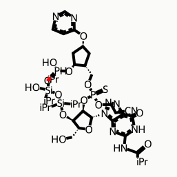 CC(C)C(=O)Nc1nc2c(nnn2[C@@H]2O[C@H](CO)[C@@H](O[Si](O[Si](O)(C(C)C)C(C)C)(C(C)C)C(C)C)[C@H]2OP(=S)(OCCC#N)OC[C@H]2C[C@@H](Oc3ccncn3)C[C@@H]2O[PH](=O)O)c(=O)[nH]1